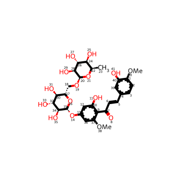 COc1ccc(/C=C/C(=O)c2c(O)cc(O[C@H]3O[C@@H](CO[C@@H]4O[C@H](C)[C@H](O)[C@@H](O)[C@@H]4O)[C@H](O)[C@@H](O)[C@@H]3O)cc2OC)cc1O